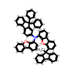 CC1(c2cccc3c2oc2c(N(c4ccc5c(c4)C(c4ccccc4)(c4ccccc4)c4ccccc4-5)c4cccc5c4oc4ccccc45)cccc23)c2ccccc2-c2ccccc21